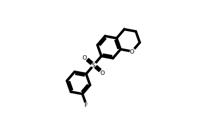 O=S(=O)(c1cccc(F)c1)c1ccc2c(c1)OCC[CH]2